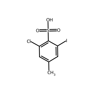 Cc1cc(Cl)c(S(=O)(=O)O)c(I)c1